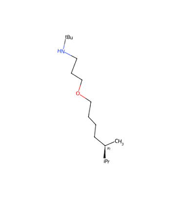 CC(C)[C@H](C)CCCCOCCCNC(C)(C)C